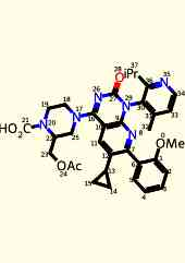 COc1ccccc1-c1nc2c(cc1C1CC1)c(N1CCN(C(=O)O)C(COC(C)=O)C1)nc(=O)n2-c1c(C)ccnc1C(C)C